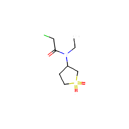 CC(C)(C)CN(C(=O)CCl)C1CCS(=O)(=O)C1